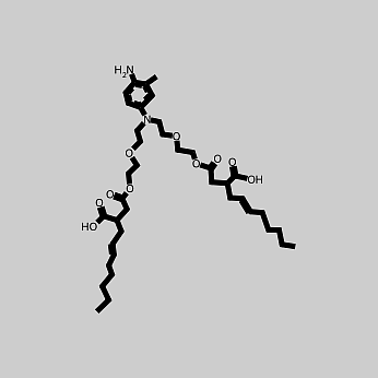 CCCCC/C=C/CC(CC(=O)OCCOCCN(CCOCCOC(=O)CC(C/C=C/CCCCC)C(=O)O)c1ccc(N)c(C)c1)C(=O)O